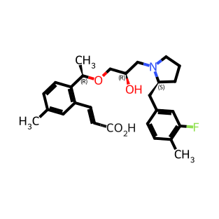 Cc1ccc([C@@H](C)OC[C@H](O)CN2CCC[C@H]2Cc2ccc(C)c(F)c2)c(C=CC(=O)O)c1